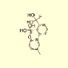 Cc1ccc(=O)n(-c2cccc(C(O)(O)F)c2C(O)(O)F)c1